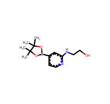 CC1(C)OB(c2ccnc(NCCO)c2)OC1(C)C